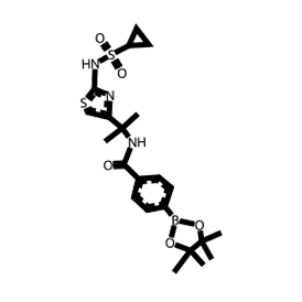 CC(C)(NC(=O)c1ccc(B2OC(C)(C)C(C)(C)O2)cc1)c1csc(NS(=O)(=O)C2CC2)n1